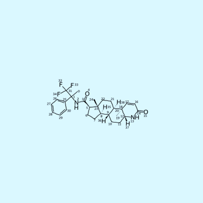 CC(NC(=O)[C@@H]1CC[C@@H]2[C@H]3CC[C@H]4NC(=O)C=C[C@]4(C)[C@@H]3CC[C@]21C)(c1ccccc1)C(F)(F)F